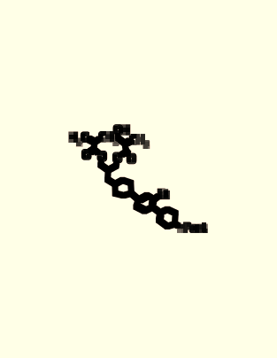 C=C(C)C(=O)OCC(COC(=O)C(=C)CO)CC1CCC(c2ccc(C3=CCC(CCCCC)CC3)c(CC)c2)CC1